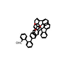 O=Cc1ccccc1-c1ccccc1-c1ccc(-c2ccc(/C3=C\CCC4=C(c5ccccc53)C3(c5ccccc54)c4ccccc4-c4ccccc43)cc2)cc1